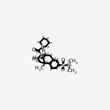 CN(C)S(=O)(=O)c1ccc2c(c1)C[C@H]1N(C(=O)N3CCCCC3)CC[C@]2(C)C1(C)C